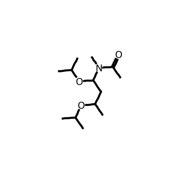 CC(=O)N(C)C(CC(C)OC(C)C)OC(C)C